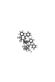 CS(=O)(=O)NC1N=C(c2ccccc2)c2ccccc2NC1=O.NC1N=C(c2ccccc2)c2ccccc2NC1=O